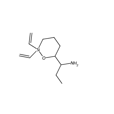 C=C[Si]1(C=C)CCCC(C(N)CC)O1